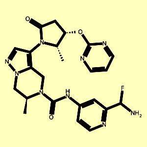 C[C@H]1Cn2ncc(N3C(=O)C[C@H](Oc4ncccn4)[C@@H]3C)c2CN1C(=O)Nc1ccnc(C(N)F)c1